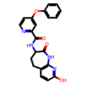 O=C(NC1CCc2ccc(O)nc2NC1=O)c1cc(Oc2ccccc2)ccn1